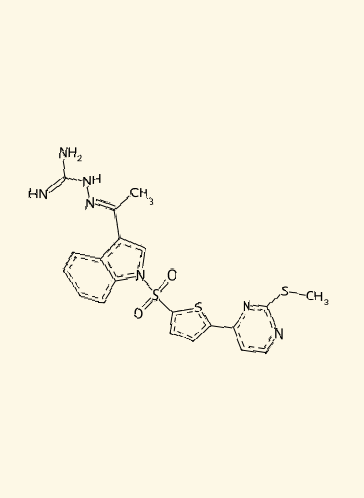 CSc1nccc(-c2ccc(S(=O)(=O)n3cc(C(C)=NNC(=N)N)c4ccccc43)s2)n1